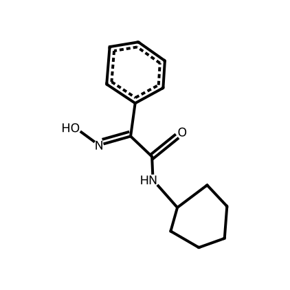 O=C(NC1CCCCC1)C(=NO)c1ccccc1